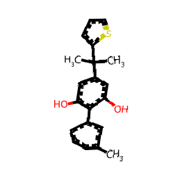 Cc1cccc(-c2c(O)cc(C(C)(C)c3cccs3)cc2O)c1